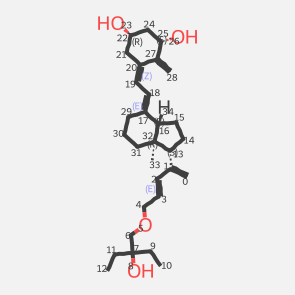 C=C(/C=C/COCC(O)(CC)CC)[C@H]1CC[C@H]2/C(=C/C=C3/C[C@@H](O)C[C@H](O)C3=C)CCC[C@]12C